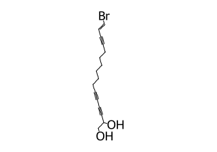 OCC(O)C#CC#CCCCCCCC#C/C=C/Br